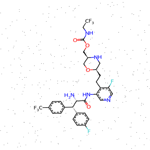 N[C@H](C(=O)Nc1cncc(F)c1CC[C@@H]1CN[C@H](COC(=O)NCC(F)(F)F)CO1)[C@H](c1ccc(F)cc1)c1ccc(C(F)(F)F)cc1